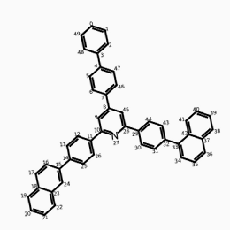 c1ccc(-c2ccc(-c3cc(-c4ccc(-c5ccc6ccccc6c5)cc4)nc(-c4ccc(-c5cccc6ccccc56)cc4)c3)cc2)cc1